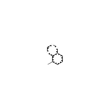 Ic1cccc2nncnc12